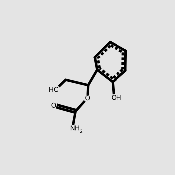 NC(=O)OC(CO)c1ccccc1O